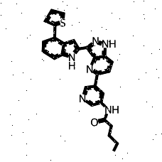 CCCCC(=O)Nc1cncc(-c2ccc3[nH]nc(-c4cc5c(-c6cccs6)cccc5[nH]4)c3n2)c1